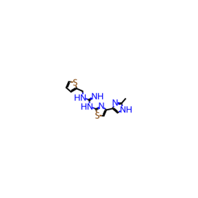 Cc1nc(-c2csc(NC(=N)NCc3cccs3)n2)c[nH]1